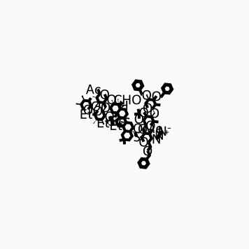 CCC1O[C@@H](OC2[C@H](O[C@H]3CCC4(C)C5CC=C6C7CC(C)(C)CC[C@]7(CS[C@@H]7OC(COCc8ccccc8)[C@H](N=[N+]=[N-])C(C)C7O[C@@H]7OC(C)[C@H](O[C@@H]8OC[C@@H](OCc9ccccc9)C(OCc9ccccc9)C8C)C8OC(C)(C)OC87)C(OC)C[C@@]6(C)[C@@]5(C)CC[C@H]4[C@@]3(C)C=O)OC(C(C)=O)[C@@H](C)[C@@H]2O[C@@H]2OC[C@@H](C)[C@@H](C)C2C)C(O[Si](CC)(CC)CC)[C@@H](C)[C@@H]1C